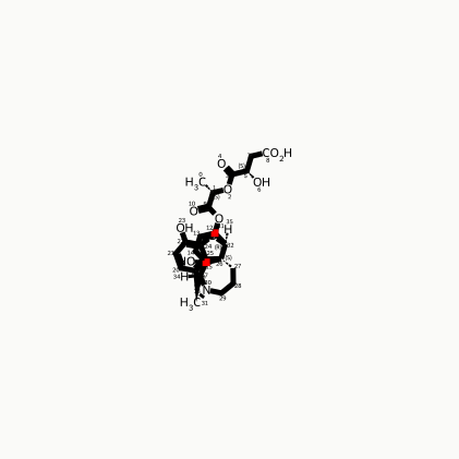 C[C@H](OC(=O)[C@@H](O)CC(=O)O)C(=O)OC1=CC[C@@]2(O)[C@H]3Cc4ccc(O)c5c4[C@@]2(CCCN3C)[C@H]1O5